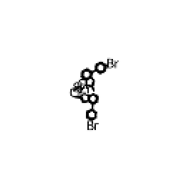 CC1=Cc2c(-c3ccc(Br)cc3)cccc2[CH]1[Zr]([Cl])([Cl])([CH]1C(C)=Cc2c(-c3ccc(Br)cc3)cccc21)=[Si](C)C